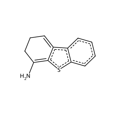 NC1=c2sc3ccccc3c2=CCC1